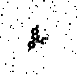 CCOC(C)NC(=O)/C(=C\c1ccc(Cl)cc1)c1ccc(F)cc1